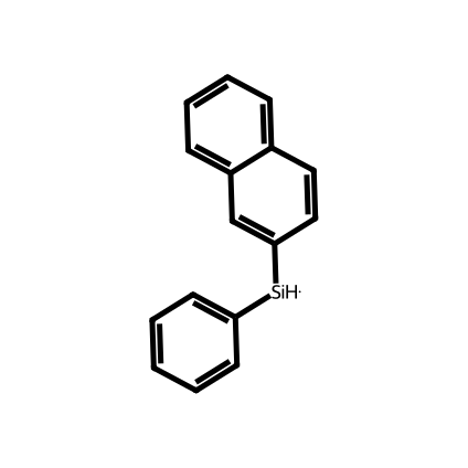 c1ccc([SiH]c2ccc3ccccc3c2)cc1